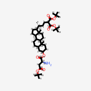 C[C@H](CCC(C(=O)OC(C)(C)C)C(=O)OC(C)(C)C)C1CCC2C3CCC4C[C@H](OC(=O)[C@@H](N)CC(=O)OC(C)(C)C)CCC4(C)C3CCC21C